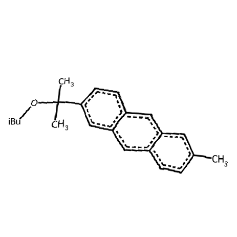 CCC(C)OC(C)(C)c1ccc2cc3cc(C)ccc3cc2c1